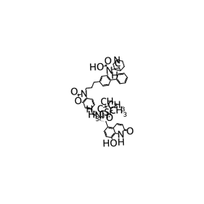 CC(C)(C)[Si](C)(C)O[C@@H](CNCc1ccc2c(c1)oc(=O)n2CCCc1ccc(-c2ccccc2)c(N(C(=O)O)[C@H]2CN3CCC2CC3)c1)c1ccc(O)c2[nH]c(=O)ccc12